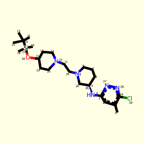 Cc1cc(N[C@@H]2CCCN(CCN3CCC(O[Si](C)(C)C(C)(C)C)CC3)C2)nnc1Cl